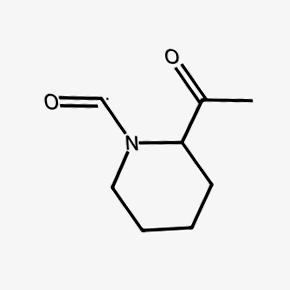 CC(=O)C1CCCCN1[C]=O